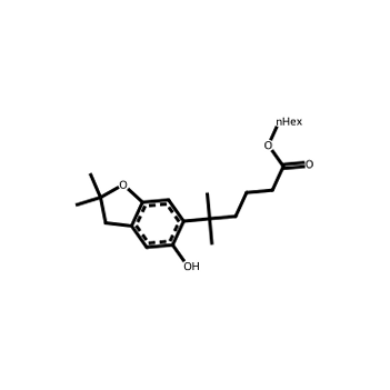 CCCCCCOC(=O)CCCC(C)(C)c1cc2c(cc1O)CC(C)(C)O2